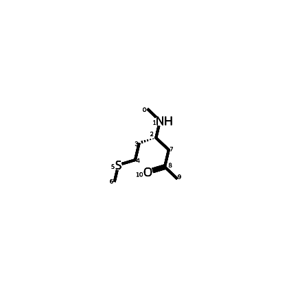 CN[C@@H](CCSC)CC(C)=O